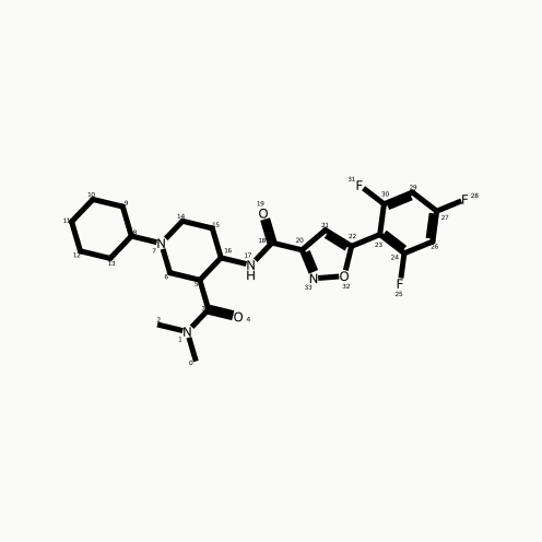 CN(C)C(=O)C1CN(C2CCCCC2)CCC1NC(=O)c1cc(-c2c(F)cc(F)cc2F)on1